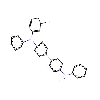 CC1C=C(N(c2ccccc2)c2ccc(-c3ccc(N(C)c4ccccc4)cc3)cc2)C=CC1